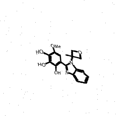 COc1cc(-c2nc3ccccc3n2C2(C)COC2)c(O)c(O)c1O